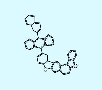 C1=CC2=CC=C(c3c4ccccc4c(C4=CC=C5Oc6cc7ccc8oc9ccccc9c8c7cc6C5C4)c4ccccc34)CC2C=C1